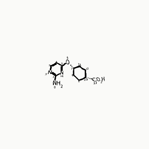 Nc1nccc(O[C@H]2CC[C@@H](C(=O)O)CC2)n1